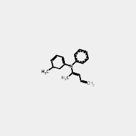 C=C/C=C(\C)N(C1=CC=CC(C)C1)c1ccccc1